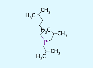 CC(C)CCCCP(CC(C)C)CC(C)C